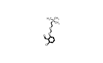 C[Si](C)(C)CCOCOc1cccc(Cl)c1C=O